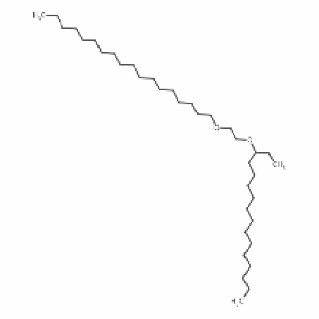 CCCCCCCCCCCCCCCCCCOCCOC(CC)CCCCCCCCCCCCC